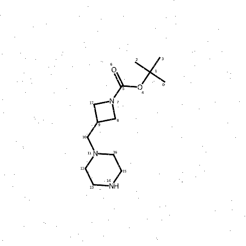 CC(C)(C)OC(=O)N1CC(CN2CCNCC2)C1